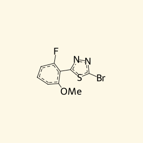 COc1cccc(F)c1-c1nnc(Br)s1